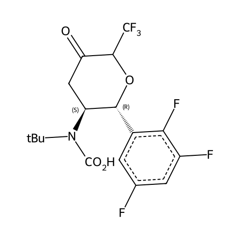 CC(C)(C)N(C(=O)O)[C@H]1CC(=O)C(C(F)(F)F)O[C@@H]1c1cc(F)cc(F)c1F